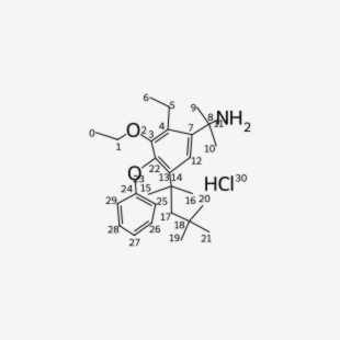 CCOc1c(CC)c(C(C)(C)N)cc(C(C)(C)CC(C)(C)C)c1Oc1ccccc1.Cl